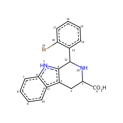 O=C(O)C1Cc2c([nH]c3ccccc23)C(c2ccccc2Br)N1